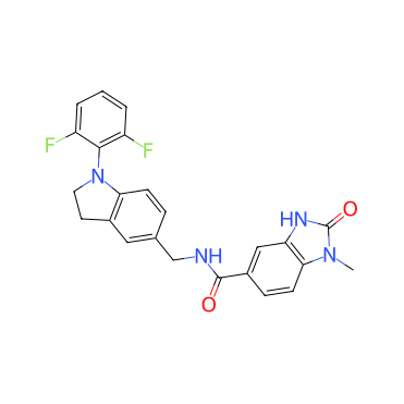 Cn1c(=O)[nH]c2cc(C(=O)NCc3ccc4c(c3)CCN4c3c(F)cccc3F)ccc21